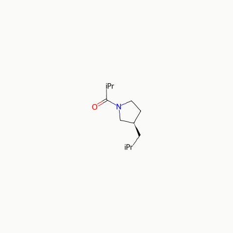 CC(C)C[C@@H]1CCN(C(=O)C(C)C)C1